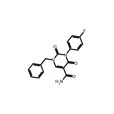 NC(=O)c1cn(Cc2ccccc2)c(=O)n(-c2ccc(F)cc2)c1=O